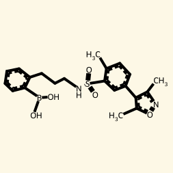 Cc1ccc(-c2c(C)noc2C)cc1S(=O)(=O)NCCCc1ccccc1B(O)O